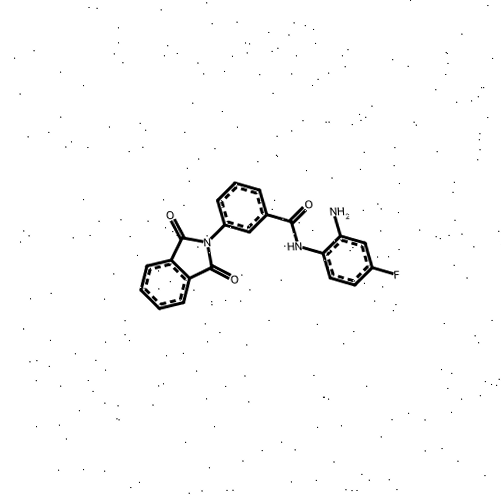 Nc1cc(F)ccc1NC(=O)c1cccc(N2C(=O)c3ccccc3C2=O)c1